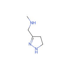 CNCC1=NNCC1